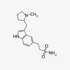 CN1CCCC1Cc1c[nH]c2ccc(CCS(N)(=O)=O)cc12